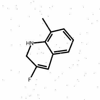 Cc1cccc2c1NCC(F)=C2